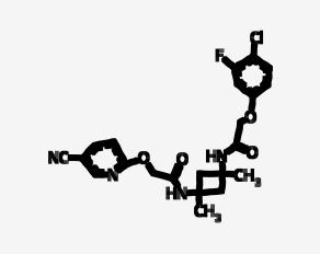 CC1(NC(=O)COc2ccc(Cl)c(F)c2)CC(C)(NC(=O)COc2ccc(C#N)cn2)C1